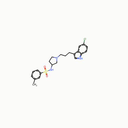 Cc1cccc(S(=O)(=O)NC2CCN(CCCc3c[nH]c4ccc(Cl)cc34)C2)c1